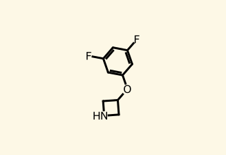 Fc1cc(F)cc(OC2CNC2)c1